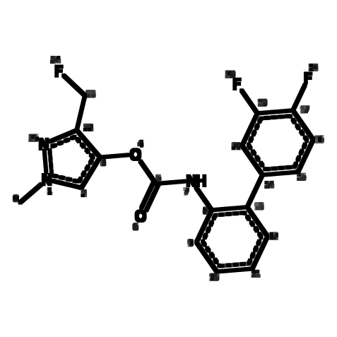 Cn1cc(OC(=O)Nc2ccccc2-c2ccc(F)c(F)c2)c(CF)n1